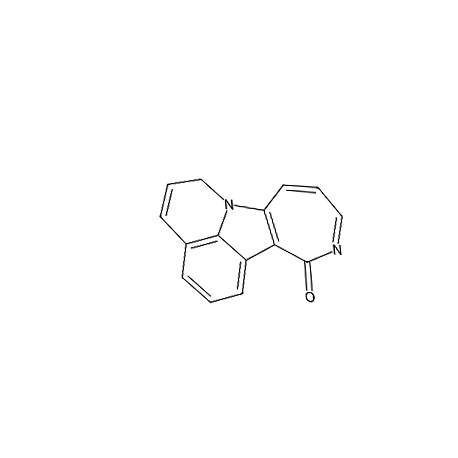 O=c1ncccc2c1c1cccc3c1n2CC=C3